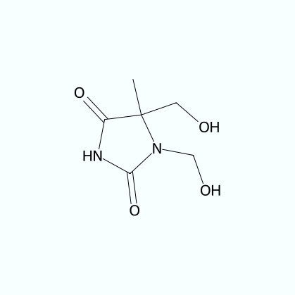 CC1(CO)C(=O)NC(=O)N1CO